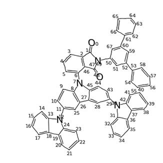 O=C1c2cccc(-n3c4ccc(-n5c6ccccc6c6ccccc65)cc4c4cc(-n5c6ccccc6c6ccccc65)ccc43)c2C(=O)N1c1cc(-c2ccccc2)cc(-c2ccccc2)c1